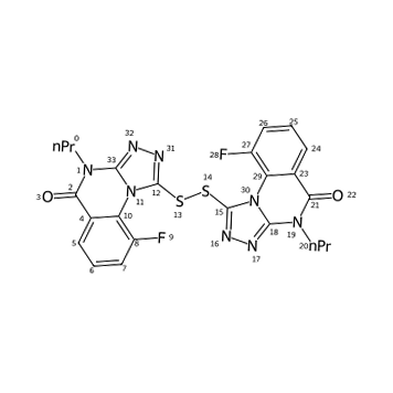 CCCn1c(=O)c2cccc(F)c2n2c(SSc3nnc4n(CCC)c(=O)c5cccc(F)c5n34)nnc12